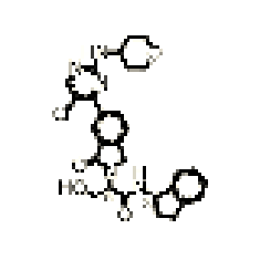 O=C(N[C@@H]1CCc2ccccc21)[C@@H](CO)N1Cc2ccc(-c3nc(NC4CCOCC4)ncc3Cl)cc2C1=O